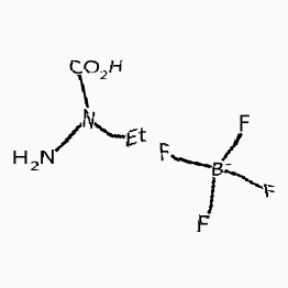 CCN(N)C(=O)O.F[B-](F)(F)F